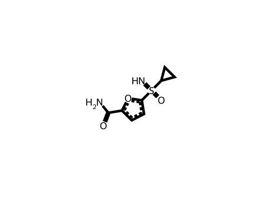 N=S(=O)(c1ccc(C(N)=O)o1)C1CC1